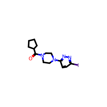 O=C(C1CCCC1)N1CCN(c2ccc(I)nn2)CC1